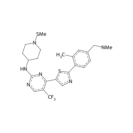 CNCc1ccc(-c2ncc(-c3nc(NC4CCN(SC)CC4)ncc3C(F)(F)F)s2)c(C)c1